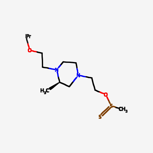 CC(C)OCCN1CCN(CCOS(C)=S)C[C@H]1C